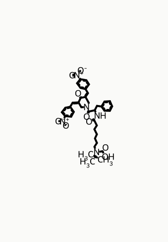 CC(C)(C)N(CCCCCCC(=O)NC(Cc1ccccc1)C(=O)N1CC(=Cc2ccc([N+](=O)[O-])cc2)C(=O)C(=Cc2ccc([N+](=O)[O-])cc2)C1)C(=O)O